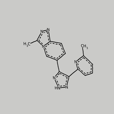 Cc1cccc(-c2n[nH]nc2-c2ccc3nnc(C)n3c2)n1